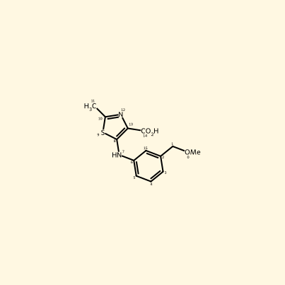 COCc1cccc(Nc2sc(C)nc2C(=O)O)c1